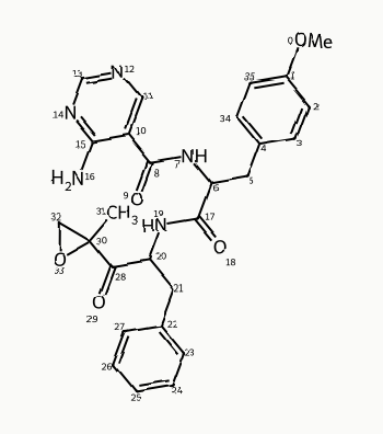 COc1ccc(CC(NC(=O)c2cncnc2N)C(=O)NC(Cc2ccccc2)C(=O)C2(C)CO2)cc1